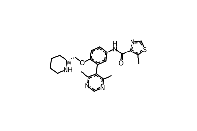 Cc1ncnc(C)c1-c1cc(NC(=O)c2ncsc2C)ccc1OC[C@H]1CCCCN1